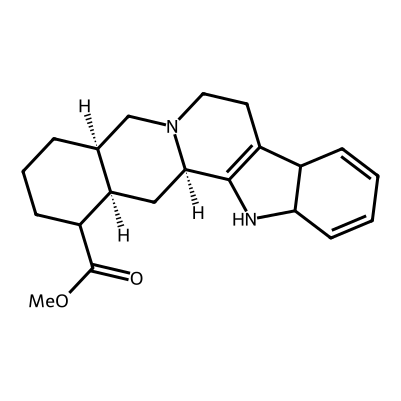 COC(=O)C1CCC[C@H]2CN3CCC4=C(NC5C=CC=CC45)[C@H]3C[C@@H]12